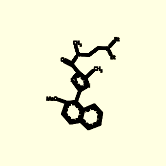 CCN(CC)CCN(C)C(=O)c1sc(-c2c(OC)ccc3ccccc23)nc1C